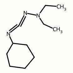 CCN(CC)N=C=NC1CCCCC1